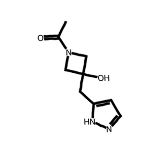 CC(=O)N1CC(O)(Cc2ccn[nH]2)C1